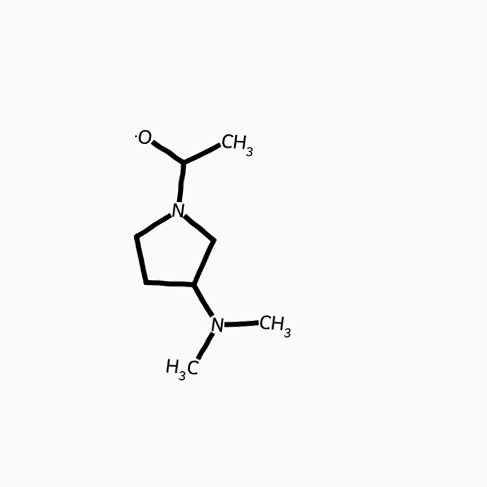 CC([O])N1CCC(N(C)C)C1